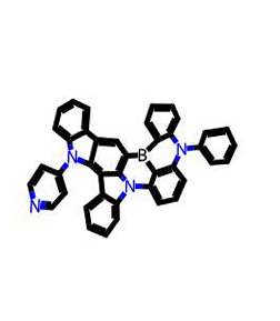 c1ccc(N2c3ccccc3B3c4c2cccc4-n2c4ccccc4c4c2c3cc2c3ccccc3n(-c3ccncc3)c24)cc1